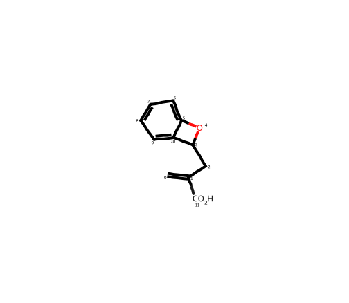 C=C(CC1Oc2ccccc21)C(=O)O